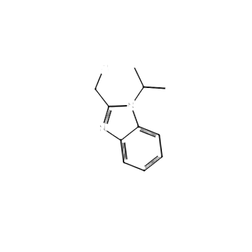 CC(C)n1c(CCl)nc2ccccc21